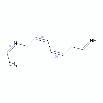 C/C=N\C/C=C\C=C/CC=N